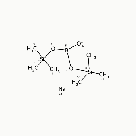 C[Si](C)(C)OB([O-])O[Si](C)(C)C.[Na+]